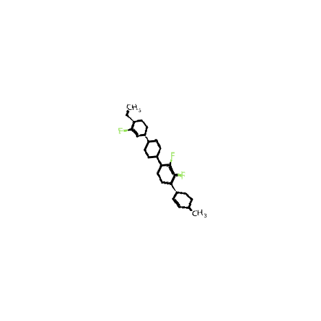 CC[C@H]1CC[C@@H](C2CCC(C3CCC([C@@H]4C=CC(C)CC4)C(F)=C3F)CC2)C=C1F